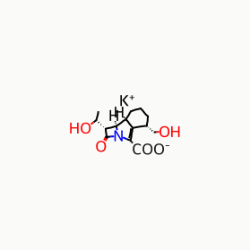 CC(O)[C@H]1C(=O)N2C(C(=O)[O-])=C3[C@@H](CO)CCC[C@@H]3[C@H]12.[K+]